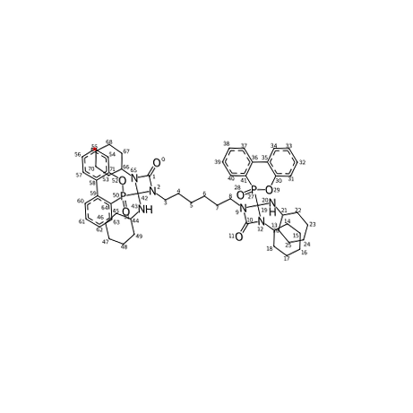 O=C1N(CCCCCCN2C(=O)N(C3CCCCC3)C2(NC2CCCCC2)P2(=O)Oc3ccccc3-c3ccccc32)C(NC2CCCCC2)(P2(=O)Oc3ccccc3-c3ccccc32)N1C1CCCCC1